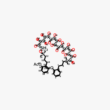 COc1ccccc1CCC[Si](C)(C)[Si](=O)[Si](=O)[Si](=O)[Si](=O)[Si](=O)[Si](=O)[Si](=O)[Si](=O)[Si](=O)[Si](=O)[Si](=O)[Si](=O)[Si](=O)[Si](=O)[Si](=O)[Si](=O)[Si](=O)[SiH2]O[Si](C)(C)CCCc1ccccc1OC(C)=O